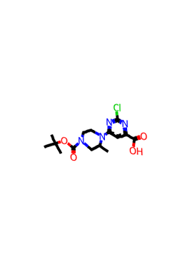 CC1CN(C(=O)OC(C)(C)C)CCN1c1cc(C(=O)O)nc(Cl)n1